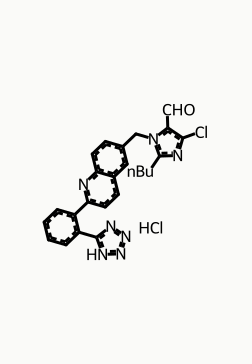 CCCCc1nc(Cl)c(C=O)n1Cc1ccc2nc(-c3ccccc3-c3nnn[nH]3)ccc2c1.Cl